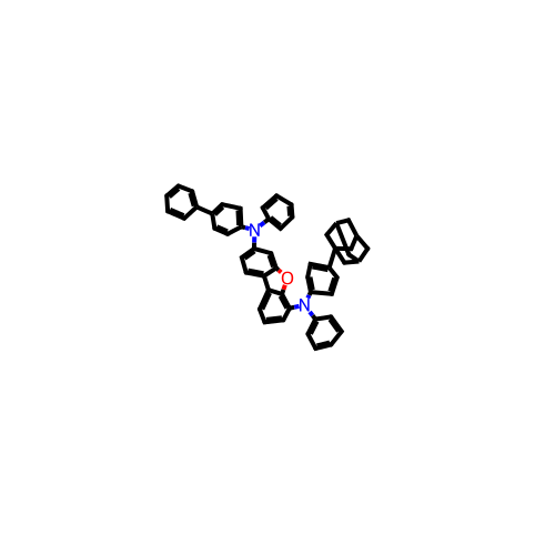 c1ccc(-c2ccc(N(c3ccccc3)c3ccc4c(c3)oc3c(N(c5ccccc5)c5ccc(C67CC8CC(CC(C8)C6)C7)cc5)cccc34)cc2)cc1